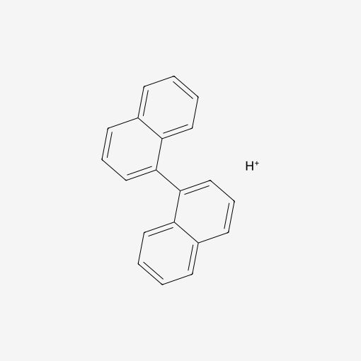 [H+].c1ccc2c(-c3cccc4ccccc34)cccc2c1